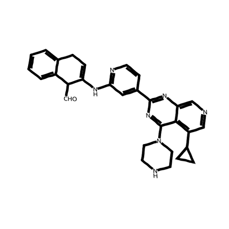 O=CC1C(Nc2cc(-c3nc(N4CCNCC4)c4c(C5CC5)cncc4n3)ccn2)=CCc2ccccc21